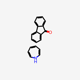 C1=CC=CNC=C1.O=C1c2ccccc2-c2ccccc21